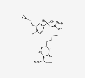 CCC(O)(Cn1nncc1CCCCC1CNc2c(OC)cccc2O1)c1ccc(F)c(OCC2CC2)c1